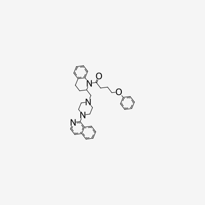 O=C(CCCOc1ccccc1)N1c2ccccc2CCC1CN1CCN(c2nccc3ccccc23)CC1